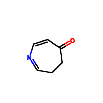 O=C1C=CN=CCC1